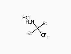 CCC(N)(CC)C(F)(F)F.Cl